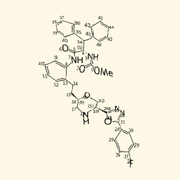 COC(=O)N[C@H](C(=O)Nc1ccccc1CC[C@@H]1CN[C@H](c2nnc(-c3ccc(F)cc3)o2)CO1)C(c1ccccc1)c1ccccc1